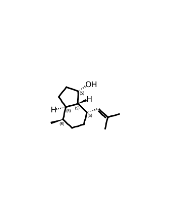 CC(C)=C[C@@H]1CC[C@@H](C)[C@H]2CC[C@H](O)[C@@H]21